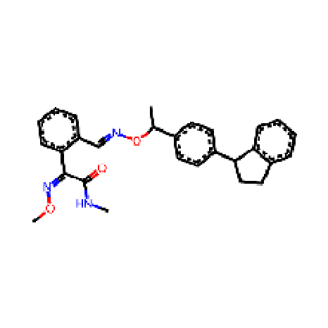 CNC(=O)/C(=N\OC)c1ccccc1/C=N/OC(C)c1ccc(C2CCc3ccccc32)cc1